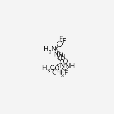 CC(C)OCC(c1cnn2cc([C@@H](N)C3CCC(F)(F)CC3)nc2c1)N1CC(F)(F)CNC1=O